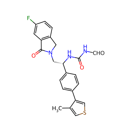 Cc1cscc1-c1ccc([C@H](CN2Cc3ccc(F)cc3C2=O)NC(=O)NC=O)cc1